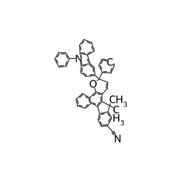 CC1(C)c2cc(C#N)ccc2-c2c1c1c(c3ccccc23)OC(c2ccccc2)(c2ccc3c(c2)c2ccccc2n3-c2ccccc2)C=C1